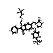 C[Si](C)(C)CCOCn1c(-c2ccccn2)c(Br)c2cc(Oc3ccc(S(C)(=O)=O)nc3)c(CN3CCCC3=O)cc21